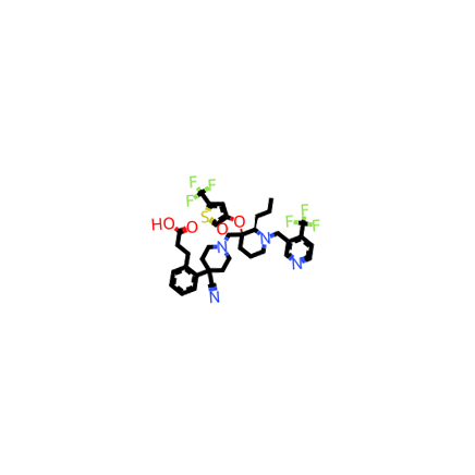 CCC[C@H]1N(Cc2cnccc2C(F)(F)F)CCC[C@@]1(Oc1csc(C(F)(F)F)c1)C(=O)N1CCC(C#N)(c2ccccc2CCC(=O)O)CC1